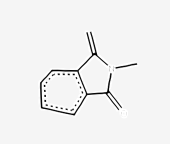 C=C1c2ccccc2C(=O)N1C